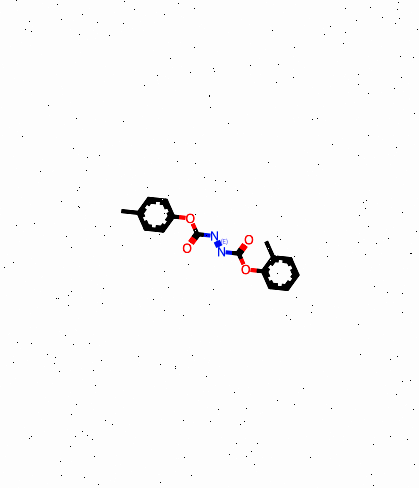 Cc1ccc(OC(=O)/N=N/C(=O)Oc2ccccc2C)cc1